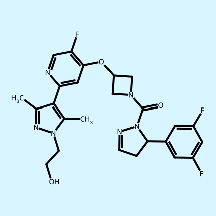 Cc1nn(CCO)c(C)c1-c1cc(OC2CN(C(=O)N3N=CCC3c3cc(F)cc(F)c3)C2)c(F)cn1